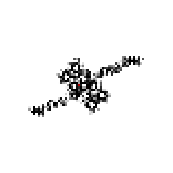 [N-]=[N+]=NCCOCCOCCOC(=O)c1cc(SC(c2ccccc2)(c2ccccc2)c2ccccc2)c(C(=O)OCCOCCOCCN=[N+]=[N-])cc1SC(c1ccccc1)(c1ccccc1)c1ccccc1